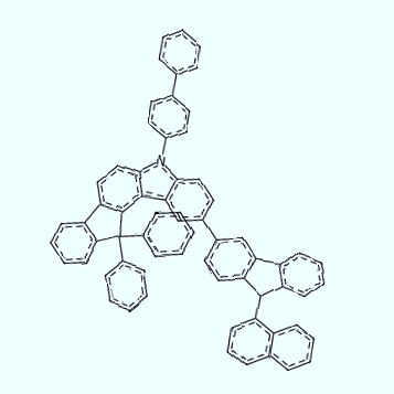 c1ccc(-c2ccc(-n3c4ccc(-c5ccc6c(c5)-c5ccccc5C6c5cccc6ccccc56)cc4c4c5c(ccc43)-c3ccccc3C5(c3ccccc3)c3ccccc3)cc2)cc1